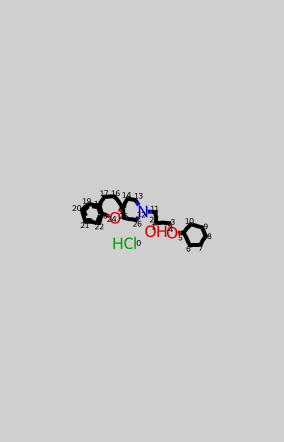 Cl.OC(COC1CCCCC1)CN1CCC2(CCc3ccccc3O2)CC1